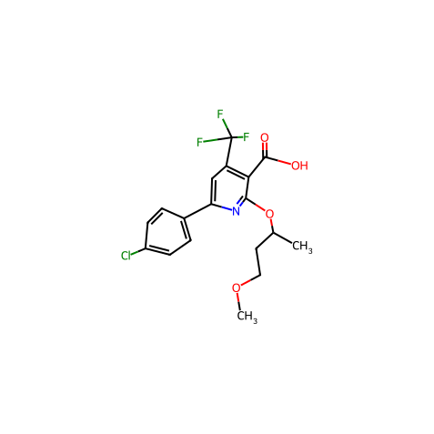 COCCC(C)Oc1nc(-c2ccc(Cl)cc2)cc(C(F)(F)F)c1C(=O)O